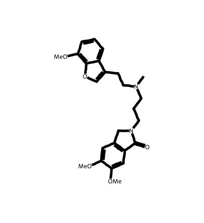 COc1cc2c(cc1OC)C(=O)N(CCCN(C)CCc1coc3c(OC)cccc13)C2